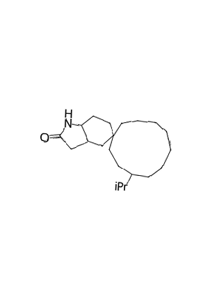 CC(C)C1CCCCCCCC2(CC1)CCC1NC(=O)CC1C2